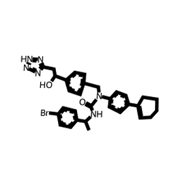 CC(NC(=O)N(Cc1ccc(C(O)Cc2nn[nH]n2)cc1)c1ccc(C2=CCCCC2)cc1)c1ccc(Br)cc1